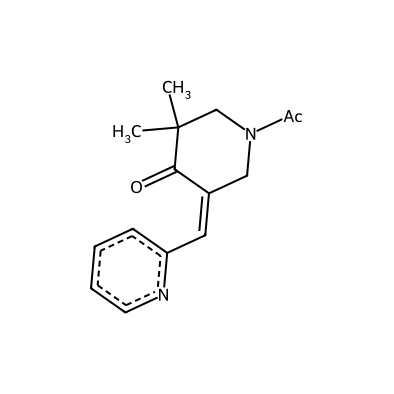 CC(=O)N1CC(=Cc2ccccn2)C(=O)C(C)(C)C1